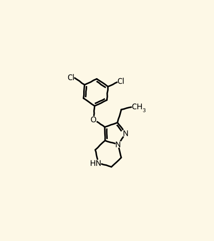 CCc1nn2c(c1Oc1cc(Cl)cc(Cl)c1)CNCC2